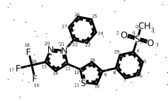 CS(=O)(=O)c1cccc(-c2csc(-c3cc(C(F)(F)F)nn3-c3[c]cccc3)c2)c1